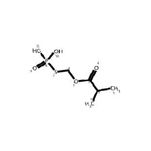 CC(C)C(=O)OCSP(=O)(O)O